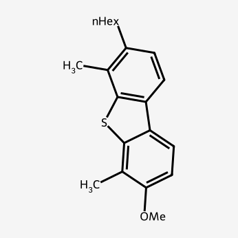 CCCCCCc1ccc2c(sc3c(C)c(OC)ccc32)c1C